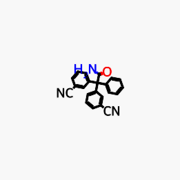 N#Cc1cccc(C(C(N)=O)(c2ccccc2)c2cccc(C#N)c2)c1